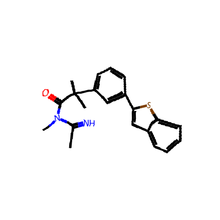 CC(=N)N(C)C(=O)C(C)(C)c1cccc(-c2cc3ccccc3s2)c1